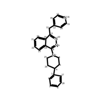 c1ccc(C2CCN(c3nnc(Cc4ccncc4)c4ccccc34)CC2)cc1